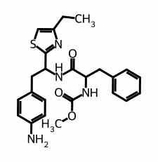 CCc1csc(C(Cc2ccc(N)cc2)NC(=O)C(Cc2ccccc2)NC(=O)OC)n1